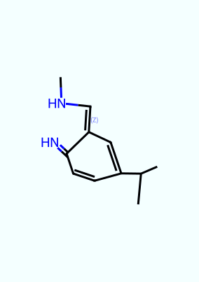 CN/C=C1/C=C(C(C)C)C=CC1=N